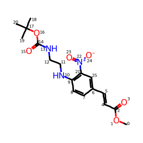 COC(=O)C=Cc1ccc(NCCNC(=O)OC(C)(C)C)c([N+](=O)[O-])c1